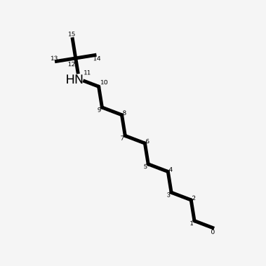 CCCCCCCCCCCNC(C)(C)C